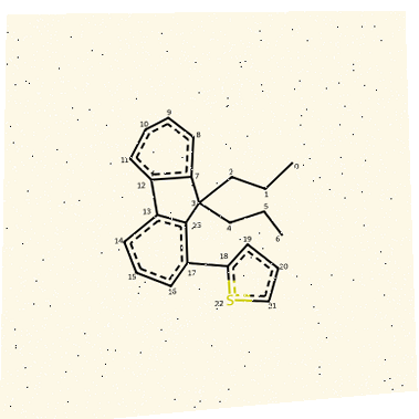 CCCC1(CCC)c2ccccc2-c2cccc(-c3cccs3)c21